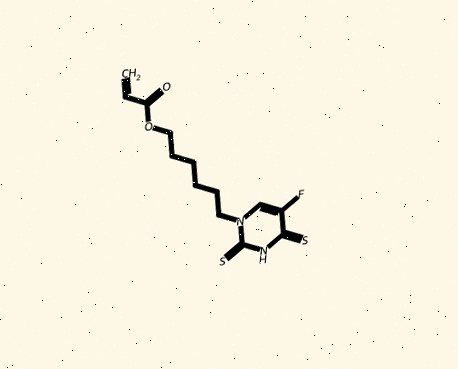 C=CC(=O)OCCCCCCn1cc(F)c(=S)[nH]c1=S